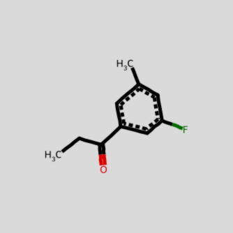 CCC(=O)c1cc(C)cc(F)c1